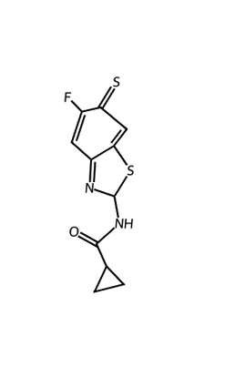 O=C(NC1N=C2C=C(F)C(=S)C=C2S1)C1CC1